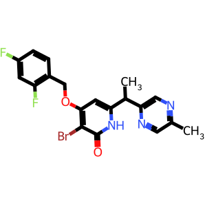 Cc1cnc(C(C)c2cc(OCc3ccc(F)cc3F)c(Br)c(=O)[nH]2)cn1